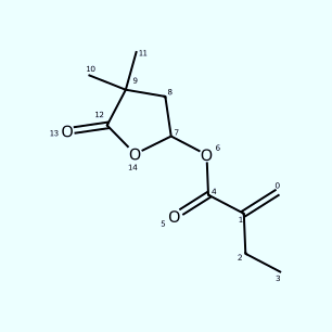 C=C(CC)C(=O)OC1CC(C)(C)C(=O)O1